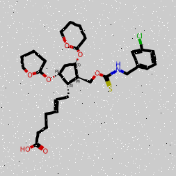 O=C(O)CCCC=CC[C@H]1[C@H](COC(=S)NCc2cccc(Cl)c2)[C@@H](OC2CCCCO2)C[C@H]1OC1CCCCO1